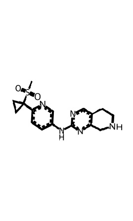 CS(=O)(=O)C1(c2ccc(Nc3ncc4c(n3)CNCC4)cn2)CC1